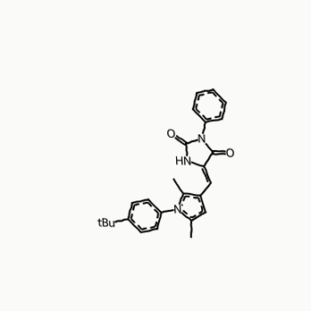 Cc1cc(C=C2NC(=O)N(c3ccccc3)C2=O)c(C)n1-c1ccc(C(C)(C)C)cc1